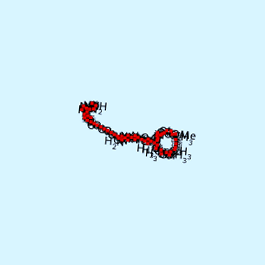 CO[C@H]1CC2CCCC(O2)C(=O)C(=O)N2CCCC[C@H]2C(=O)O[C@H](CC[C@H]2CC[C@H](OC(=O)NCc3cnc(N4CCN(c5ncc(C(=O)NCCOCCOCCOCCOCCC(=O)N6CCc7cc(Cn8nc(-c9cnc%10[nH]ccc%10c9)c9c(N)ncnc98)ccc7C6)c(N)n5)CC4)nc3)CC2)CC(=O)[C@H](C)/C=C(\C)[C@@H](O)CC(=O)[C@H](C)C[C@H](C)/C=C/C=C/C=C/1C